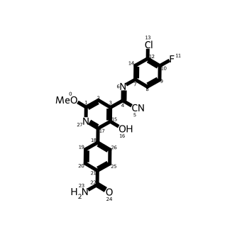 COc1cc(/C(C#N)=N/c2ccc(F)c(Cl)c2)c(O)c(-c2ccc(C(N)=O)cc2)n1